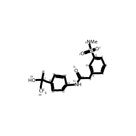 CNS(=O)(=O)c1cccc(CC(=O)Nc2ccc(C(C)(O)C(F)(F)F)cc2)c1